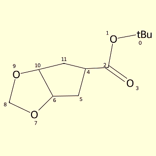 CC(C)(C)OC(=O)C1CC2OCOC2C1